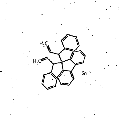 C=CC(c1ccccc1)C1(C(C=C)c2ccccc2)c2ccccc2-c2ccccc21.[Sn]